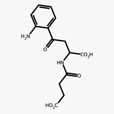 Nc1ccccc1C(=O)CC(NC(=O)CCC(=O)O)C(=O)O